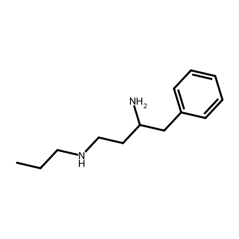 CCCNCCC(N)Cc1ccccc1